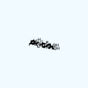 Cc1ccc2sc(NC(=O)N3CCN(c4ncc([C@@H](O)CO)cc4F)C[C@@H]3C)nc2c1